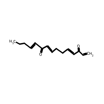 C=CC(=O)C=CCCC=CC(=O)C=CCCC